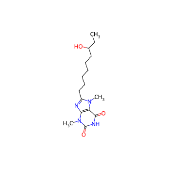 CCC(O)CCCCCCc1nc2c(c(=O)[nH]c(=O)n2C)n1C